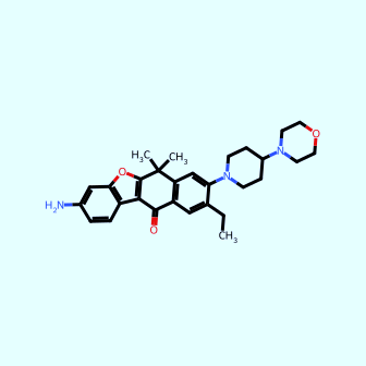 CCc1cc2c(cc1N1CCC(N3CCOCC3)CC1)C(C)(C)c1oc3cc(N)ccc3c1C2=O